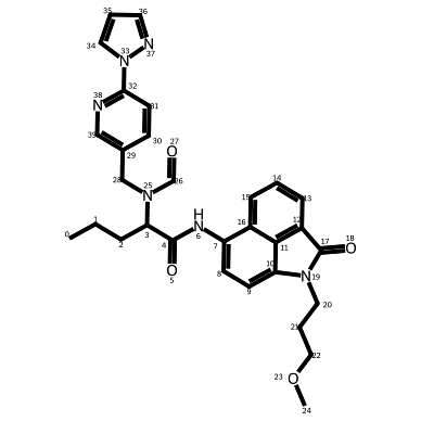 CCCC(C(=O)Nc1ccc2c3c(cccc13)C(=O)N2CCCOC)N(C=O)Cc1ccc(-n2cccn2)nc1